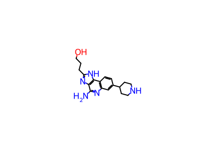 Nc1nc2cc(C3CCNCC3)ccc2c2[nH]c(CCCO)nc12